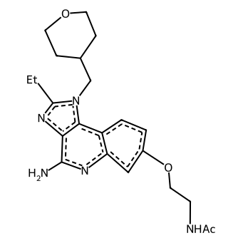 CCc1nc2c(N)nc3cc(OCCNC(C)=O)ccc3c2n1CC1CCOCC1